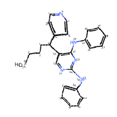 O=C(O)CCCC(c1ccncc1)c1cnc(Nc2ccccc2)nc1Nc1ccccc1